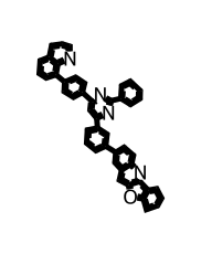 c1ccc(-c2nc(-c3ccc(-c4cccc5cccnc45)cc3)cc(-c3cccc(-c4ccc5nc6c(cc5c4)oc4ccccc46)c3)n2)cc1